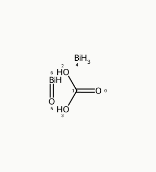 O=C(O)O.[BiH3].[O]=[BiH]